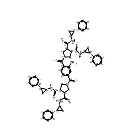 Nc1cc(C(=O)N2C[C@@H](C(=O)N[C@H]3C[C@@H]3c3ccccc3)[C@H](C(=O)N[C@H]3C[C@@H]3c3ccccc3)C2)ccc1C(=O)N1C[C@@H](C(=O)N[C@H]2C[C@@H]2c2ccccc2)[C@H](C(=O)N[C@H]2C[C@@H]2c2ccccc2)C1